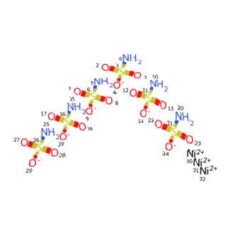 NS(=O)(=O)[O-].NS(=O)(=O)[O-].NS(=O)(=O)[O-].NS(=O)(=O)[O-].NS(=O)(=O)[O-].NS(=O)(=O)[O-].[Ni+2].[Ni+2].[Ni+2]